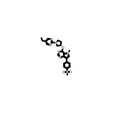 CCc1cnc(N2CC[C@H](Oc3ncnc4c(-c5ccc(S(C)(=O)=O)cc5)cn(C)c34)C2)nc1